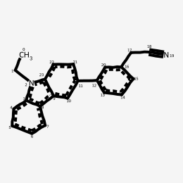 CCn1c2ccccc2c2cc(-c3cccc(CC#N)c3)ccc21